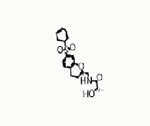 C[C@H](O)C(=O)NC[C@H]1CCc2ccc(S(=O)(=O)C3C=CC=CC3)cc2O1